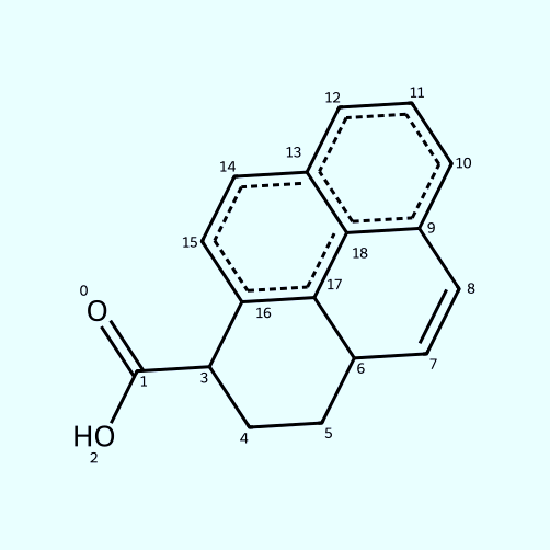 O=C(O)C1CCC2C=Cc3cccc4ccc1c2c34